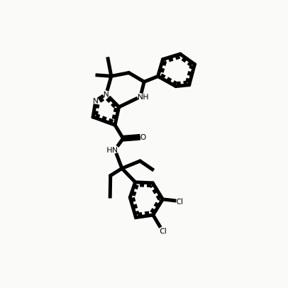 CCC(CC)(NC(=O)c1cnn2c1NC(c1ccccc1)CC2(C)C)c1ccc(Cl)c(Cl)c1